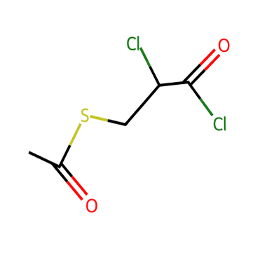 CC(=O)SCC(Cl)C(=O)Cl